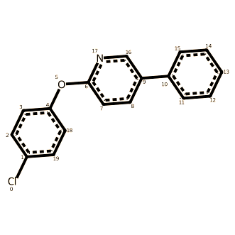 Clc1ccc(Oc2ccc(-c3[c]cccc3)cn2)cc1